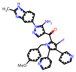 COc1ccc(Cn2c(C(=O)c3cnn(-c4ccc5[nH]c(C)nc5c4)c3N)c(I)c(-c3cccnc3)c2-c2cccnc2)cc1